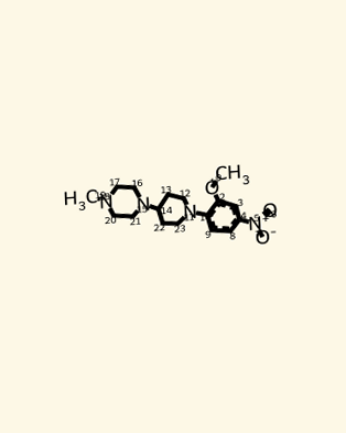 COc1cc([N+](=O)[O-])ccc1N1CCC(N2CCN(C)CC2)CC1